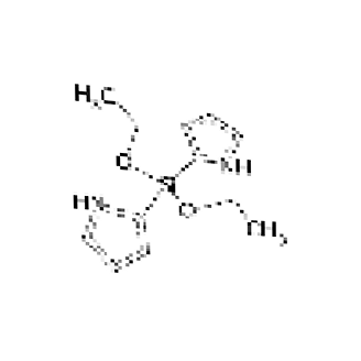 CCO[Si](OCC)(c1ccc[nH]1)c1ccc[nH]1